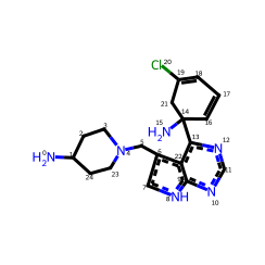 NC1CCN(Cc2c[nH]c3ncnc(C4(N)C=CC=C(Cl)C4)c23)CC1